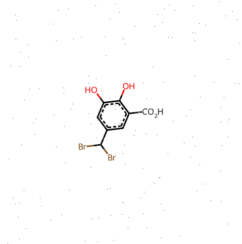 O=C(O)c1cc(C(Br)Br)cc(O)c1O